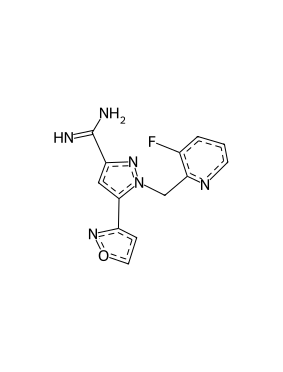 N=C(N)c1cc(-c2ccon2)n(Cc2ncccc2F)n1